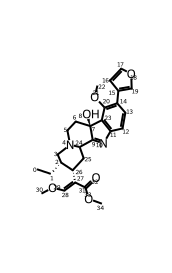 CC[C@@H]1CN2CC[C@@]3(O)C(=Nc4ccc(-c5ccoc5)c(OC)c43)C2C[C@@H]1/C(=C\OC)C(=O)OC